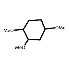 COC1[CH]C(OC)C(OC)CC1